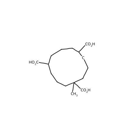 CC1(C(=O)O)CCCC(C(=O)O)CCCC(C(=O)O)CCC1